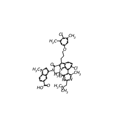 Cc1cc(OCCCc2c3n(c4c(-c5c(C)nc(CN(C)C)nc5C)c(Cl)ccc24)C(C)CN(c2cn(C)c4ccc(C(=O)O)cc24)C3=O)cc(C)c1Cl